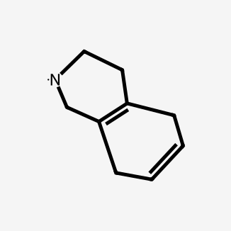 C1=CCC2=C(C1)CC[N]C2